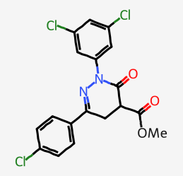 COC(=O)C1CC(c2ccc(Cl)cc2)=NN(c2cc(Cl)cc(Cl)c2)C1=O